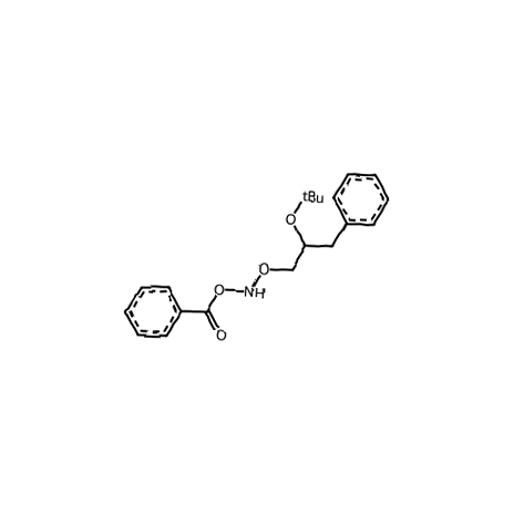 CC(C)(C)OC(CONOC(=O)c1ccccc1)Cc1ccccc1